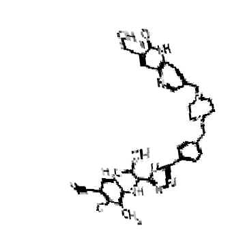 CCc1cc2ncc(CN3CCN(Cc4ccc(-c5nnc(C(Nc6ccc(C#N)c(Cl)c6C)C(C)O)o5)cc4)CC3)cc2[nH]c1=O